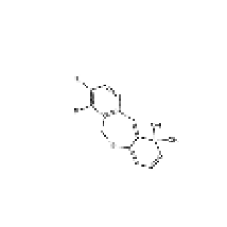 OC1(O)C=CC=C2SCc3c(ccc(F)c3F)C=C21